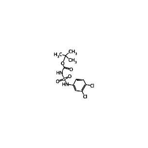 CC(C)(C)OC(=O)NS(=O)(=O)Nc1ccc(Cl)c(Cl)c1